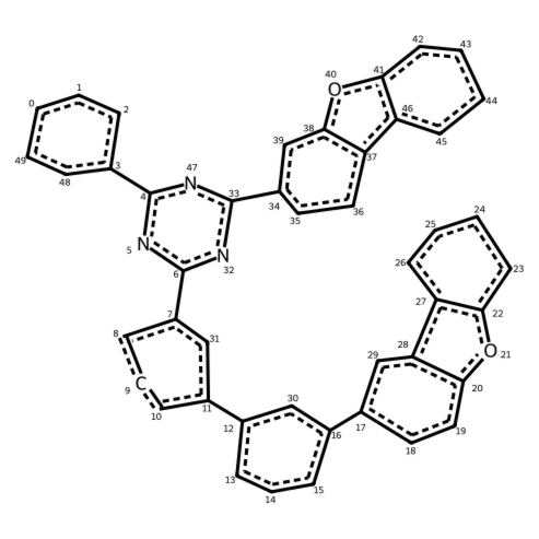 c1ccc(-c2nc(-c3cccc(-c4cccc(-c5ccc6oc7ccccc7c6c5)c4)c3)nc(-c3ccc4c(c3)oc3ccccc34)n2)cc1